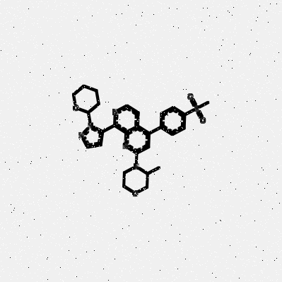 CC1COCCN1c1cc(-c2ccc(S(C)(=O)=O)cc2)c2ccnc(-c3ccnn3C3CCCCO3)c2n1